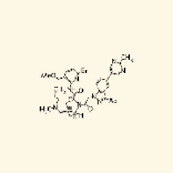 C=CCN(C)C[C@@]12C[C@@H](C(=O)Nc3nc(Br)ccc3COC)N(C(=O)Cn3nc(C(C)=O)c4cc(-c5cnc(C)nc5)ccc43)[C@@H]1C2